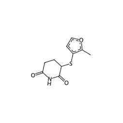 Cc1occc1SC1CCC(=O)NC1=O